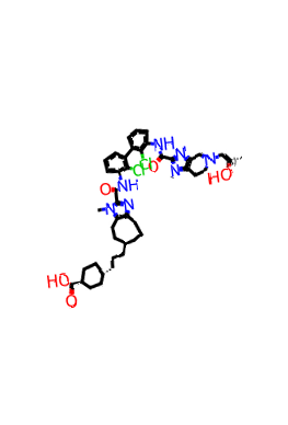 C[C@H](O)CN1CCc2c(nc(C(=O)Nc3cccc(-c4cccc(NC(=O)c5nc6c(n5C)CCC(CCC[C@H]5CC[C@H](C(=O)O)CC5)CCC6)c4Cl)c3Cl)n2C)C1